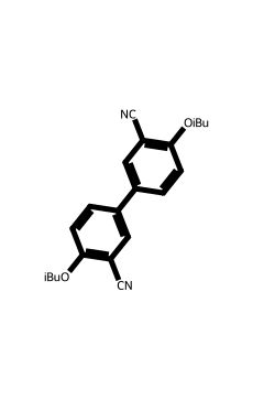 CC(C)COc1ccc(-c2ccc(OCC(C)C)c(C#N)c2)cc1C#N